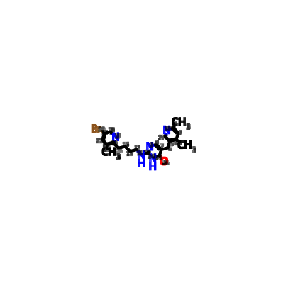 Cc1cc(C)c(Cc2cnc(NCCCCc3ncc(Br)cc3C)[nH]c2=O)cn1